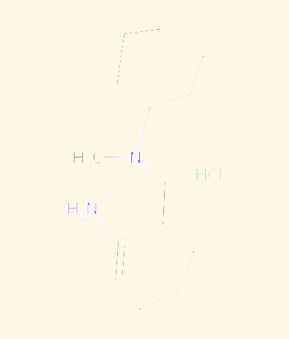 CN(Cc1ccccc1N)C1CCCCC1.Cl